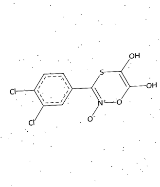 [O-][N+]1=C(c2ccc(Cl)c(Cl)c2)SC(O)=C(O)O1